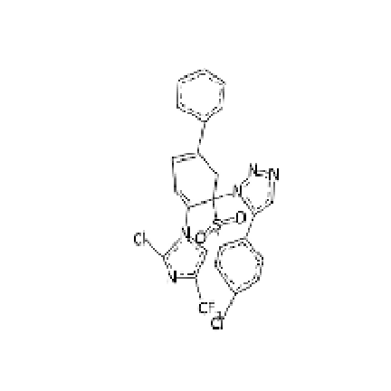 CS(=O)(=O)C1(n2nncc2-c2ccc(Cl)cc2)CC(c2ccccc2)=CC=C1n1cc(C(F)(F)F)nc1Cl